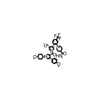 CNC(=O)C1CCN(c2cc(C(F)(F)F)ccc2[C@H]2CN(C(=O)[C@@H]3CN([C@H]4CC[C@H](OC)CC4)C[C@H]3c3ccc(OC)cc3)C[C@@H]2COC)CC1